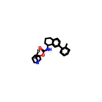 Cc1ccccc1-c1ccc2c(c1)C(NC(=O)O[C@@H]1CN3CCC1CC3)CCC2